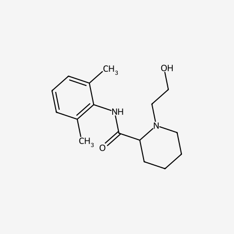 Cc1cccc(C)c1NC(=O)C1CCCCN1CCO